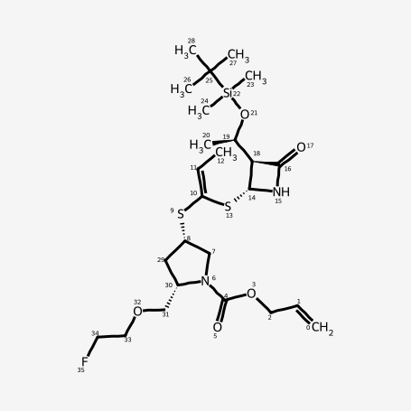 C=CCOC(=O)N1C[C@@H](S/C(=C/C)S[C@H]2NC(=O)[C@@H]2[C@@H](C)O[Si](C)(C)C(C)(C)C)C[C@H]1COCCF